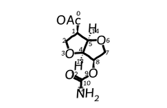 CC(=O)O[C@@H]1CO[C@H]2[C@@H]1OC[C@H]2OC(N)=O